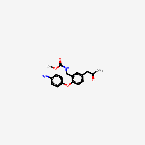 COC(=O)Cc1ccc(Oc2ccc(N)cc2)c(CNC(=O)OC(C)(C)C)c1